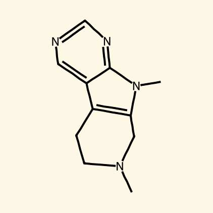 CN1CCc2c(n(C)c3ncncc23)C1